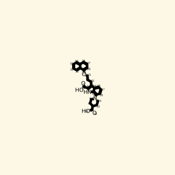 O=C(O)c1[nH]c2c(N3CCC(C(=O)O)CC3)cccc2c1CCCOc1cccc2ccccc12